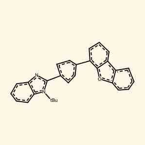 CC(C)(C)n1c(-c2ccc(-c3cccc4c3oc3ccccc34)cc2)nc2ccccc21